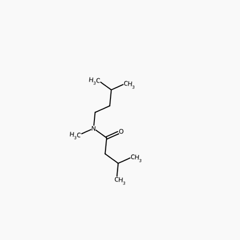 CC(C)CCN(C)C(=O)CC(C)C